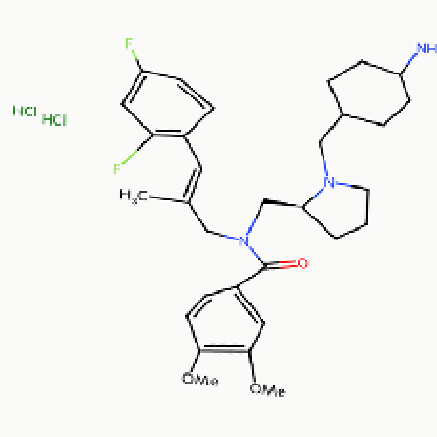 COc1ccc(C(=O)N(CC(C)=Cc2ccc(F)cc2F)C[C@@H]2CCCN2CC2CCC(N)CC2)cc1OC.Cl.Cl